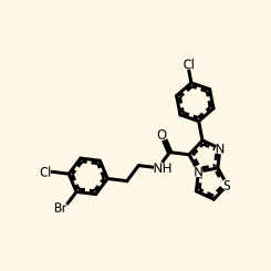 O=C(NCCc1ccc(Cl)c(Br)c1)c1c(-c2ccc(Cl)cc2)nc2sccn12